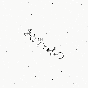 O=C(CCCNC(=S)NC1CCCCC1)Nc1ncc([N+](=O)[O-])s1